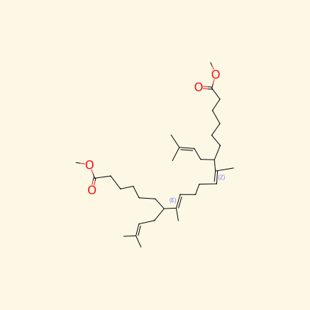 COC(=O)CCCCCC(CC=C(C)C)/C(C)=C\CC/C=C(\C)C(CC=C(C)C)CCCCCC(=O)OC